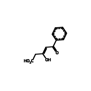 O=C(O)CC(O)=CC(=O)c1ccccc1